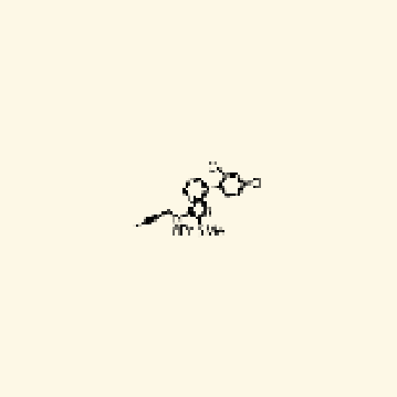 CC#CCN(CCC)c1c(SC)nc2c(-c3ccc(Cl)cc3Cl)cccn12